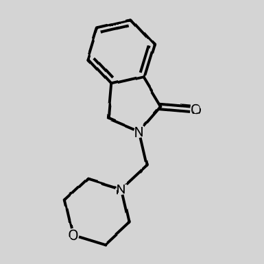 O=C1c2ccccc2CN1CN1CCOCC1